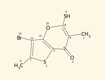 Cc1sc2c(=O)c(C)c(S)oc2c1Br